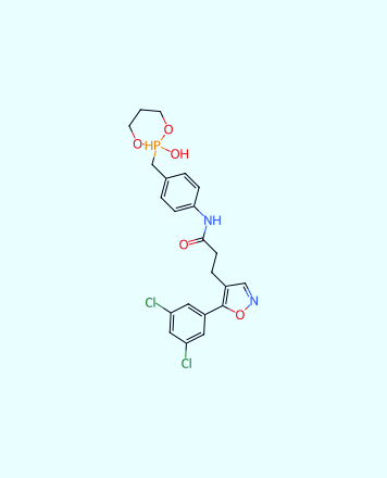 O=C(CCc1cnoc1-c1cc(Cl)cc(Cl)c1)Nc1ccc(C[PH]2(O)OCCCO2)cc1